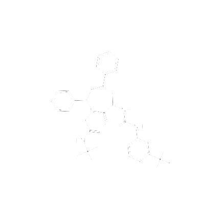 CC(C)(C)NC(=O)CN1C(=O)C(NC(=O)Nc2cccc(C(F)(F)F)c2)CC(c2ccccc2)CC1c1ccccc1